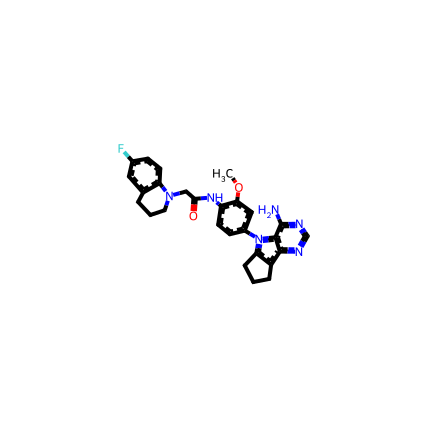 COc1cc(-n2c3c(c4ncnc(N)c42)CCC3)ccc1NC(=O)CN1CCCc2cc(F)ccc21